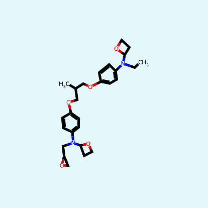 CCN(c1ccc(OCC(C)COc2ccc(N(CC3CO3)C3CCO3)cc2)cc1)C1CCO1